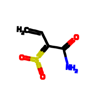 C=CC(C(N)=O)=S(=O)=O